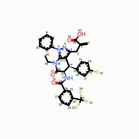 C=C(Cc1nn(-c2ccccc2)c2c1[C@@H](c1ccc(F)cc1)[C@@H](NC(=O)c1cccc(C(F)(F)F)c1)C(=O)N2CC)C(=O)O